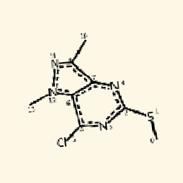 CSc1nc(Cl)c2c(n1)c(C)nn2C